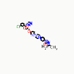 CCC(C)n1ncn(-c2ccc(N3CCN(c4ccc(OC[C@@H]5CO[C@@](Cn6cnnn6)(c6cccc(Cl)c6)O5)cn4)CC3)cc2)c1=O